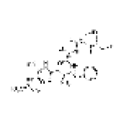 CC[C@H](NC(=O)[C@H](CC(C)C)NC(=O)CC(C)C)C(=O)N[C@@H](Cc1ccccc1)[C@@H](N)CC(=O)N[C@H](C(=O)N[C@H](C(=O)O)C(C)C)[C@@H](C)CC